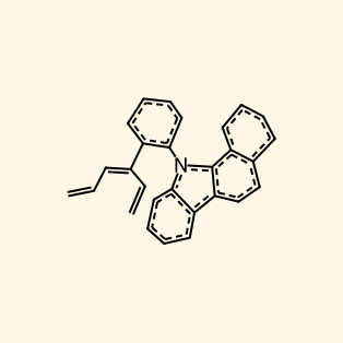 C=C/C=C(\C=C)c1ccccc1-n1c2ccccc2c2ccc3ccccc3c21